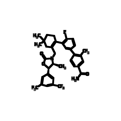 C[C@H]1[C@@H](c2cc(C(F)(F)F)cc(C(F)(F)F)c2)OC(=O)N1CC1=C(c2cc(-c3ccc(C(N)=O)cc3C(F)(F)F)ccc2F)CCC(C)(C)C1